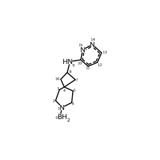 BN1CCC2(CC1)CC(Nc1cccnn1)C2